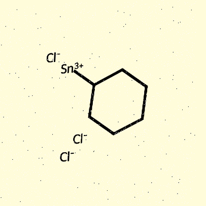 [Cl-].[Cl-].[Cl-].[Sn+3][CH]1CCCCC1